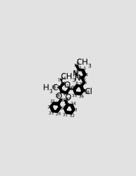 CCc1ccc(Cc2cc([C@@H]3O[C@H](CC)[C@@H](C)[C@H](OCc4ccccc4)[C@H]3OCc3ccccc3)ccc2Cl)nn1